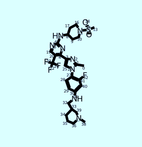 Cc1nc(-c2nc(NC3CCN(S(C)(=O)=O)CC3)ncc2C(F)(F)F)cn1-c1ccc(NCC2CCCN(C)C2)cc1F